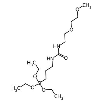 CCO[Si](CCCNC(=O)NCCOCCOC)(OCC)OCC